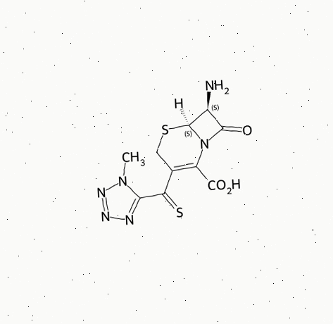 Cn1nnnc1C(=S)C1=C(C(=O)O)N2C(=O)[C@H](N)[C@@H]2SC1